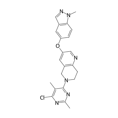 Cc1nc(Cl)c(C)c(N2CCc3ncc(Oc4ccc5c(cnn5C)c4)cc3C2)n1